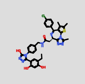 CCc1cc(-c2nnc(O)n2-c2ccc(CNC(=O)C[C@@H]3N=C(c4ccc(Cl)cc4)c4c(sc(C)c4C)-n4c(C)nnc43)cc2)c(O)cc1O